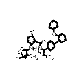 CC1(C(=O)Nc2ccc(Br)cc2C(=O)NC(CC(=O)O)c2ccc(-c3ccccc3Oc3ccccc3)cc2)CC1(Cl)Cl